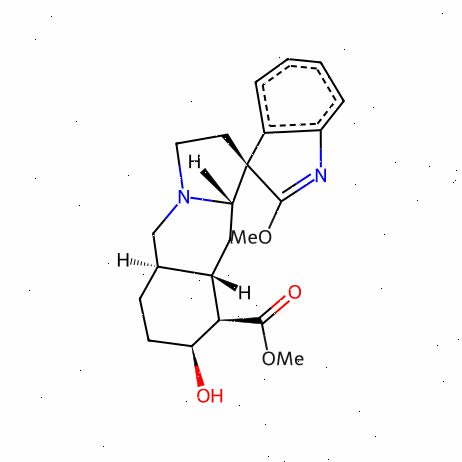 COC(=O)[C@@H]1[C@H]2C[C@@H]3N(CC[C@@]34C(OC)=Nc3ccccc34)C[C@@H]2CC[C@@H]1O